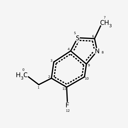 CCc1cc2sc(C)nc2cc1F